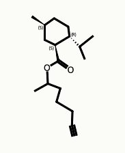 C#CCCCC(C)OC(=O)[C@H]1C[C@@H](C)CC[C@@H]1C(C)C